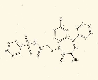 CC[C@H](C)C1N=C(c2ccccc2)c2cc(Cl)ccc2N(CCC(=O)NS(=O)(=O)c2ccccc2)C1=O